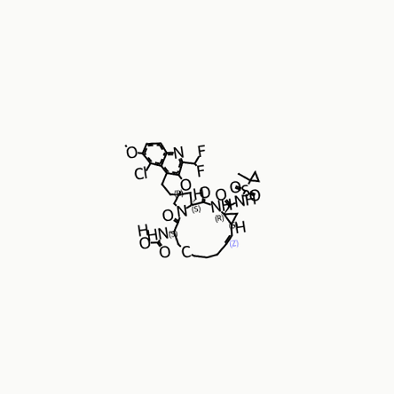 COc1ccc2nc(C(F)F)c3c(c2c1Cl)CC[C@]1(C[C@H]2C(=O)N[C@]4(C(=O)NS(=O)(=O)C5(C)CC5)C[C@H]4/C=C\CCCCC[C@H](NC(=O)O)C(=O)N2C1)O3